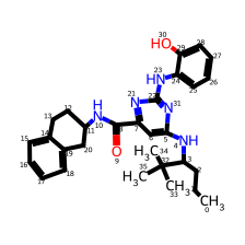 CCCC(Nc1cc(C(=O)NC2CCc3ccccc3C2)nc(Nc2ccccc2O)n1)C(C)(C)C